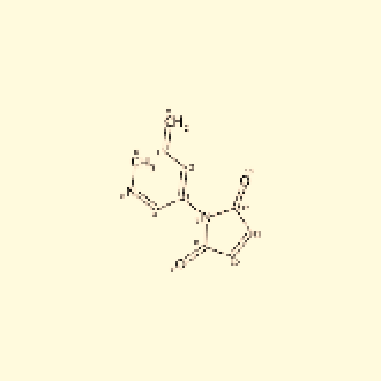 C=C/C=C(\C=N/C)N1C(=O)C=CC1=O